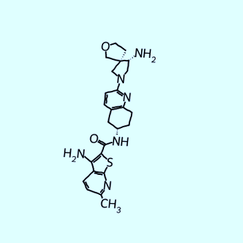 Cc1ccc2c(N)c(C(=O)N[C@H]3CCc4nc(N5C[C@@H](N)[C@@]6(CCOC6)C5)ccc4C3)sc2n1